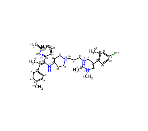 C=CN(C)CC(CNCCCN1CCC(NC(=C(C)c2ccc(C)cc2)C(/C=C\C)=N/C(=C)C)CC1)c1ccc(F)cc1C